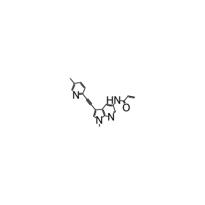 C=CC(=O)Nc1cnc2c(c1)c(C#Cc1ccc(C)cn1)cn2C